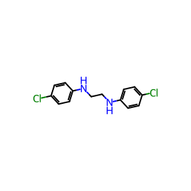 Clc1ccc(NCCNc2ccc(Cl)cc2)cc1